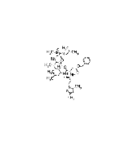 Cc1cc(C)n(CCC(=O)NC(CC(=O)OCc2ccccc2)C(=O)NC(CC(C)C)C(O)CC(C)C(=O)NC(C(=O)NCC(C)C)C(C)C)n1